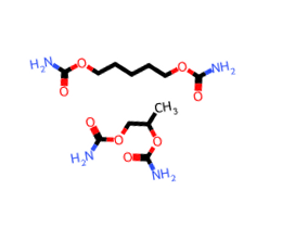 CC(COC(N)=O)OC(N)=O.NC(=O)OCCCCCOC(N)=O